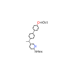 CCCCCCCCOc1ccc(-c2ccc(C(C)c3ccc(CCCCCC)nc3)cc2)cc1